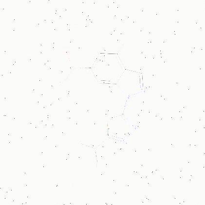 [O-][S+](Cl)c1cc(Cl)c2cnn(-c3nnc(C(F)F)s3)c2c1